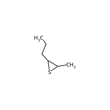 CCCC1SC1C